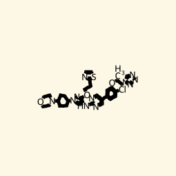 CC(Cn1cnnn1)Oc1cc(-c2cnc(Nc3cn(C4CCC(N5CCOCC5)CC4)nc3OCCc3nccs3)nc2)ccc1Cl